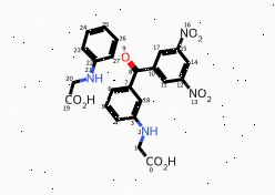 O=C(O)CNc1cccc(C(=O)c2cc([N+](=O)[O-])cc([N+](=O)[O-])c2)c1.O=C(O)CNc1ccccc1